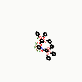 O=C(Nc1c(OC(=O)c2cc(OCc3ccccc3)c(OCc3ccccc3)c(OCc3ccccc3)c2SF)c(SF)c(SF)c(SF)c1SF)c1cc(OCc2ccccc2)c(OCc2ccccc2)c(OCc2ccccc2)c1